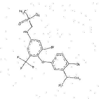 CC(C)c1cc(Oc2c(Br)cc(NCP(C)(=O)O)cc2C(F)(F)F)ccc1O